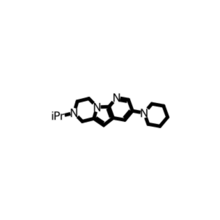 CC(C)N1CCn2c(cc3cc(N4CCCCC4)cnc32)C1